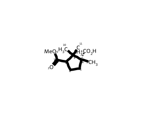 COC(=O)C1CC[C@@](C)(C(=O)O)C1(C)C